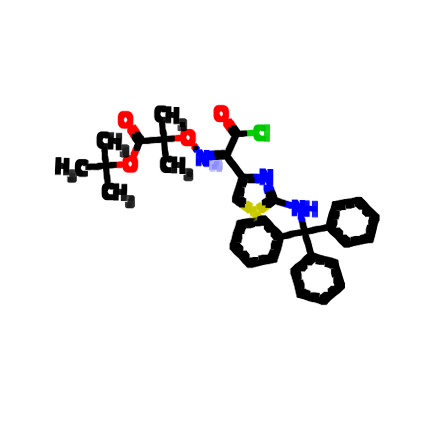 CC(C)(C)OC(=O)C(C)(C)O/N=C(\C(=O)Cl)c1csc(NC(c2ccccc2)(c2ccccc2)c2ccccc2)n1